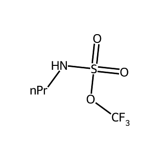 [CH2]CCNS(=O)(=O)OC(F)(F)F